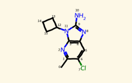 Cc1nc2c(cc1Cl)nc(N)n2C1CCC1